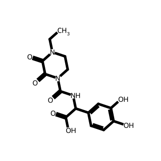 CCN1CCN(C(=O)NC(C(=O)O)c2ccc(O)c(O)c2)C(=O)C1=O